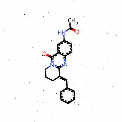 CC(=O)Nc1ccc2nc3n(c(=O)c2c1)CCCC3=Cc1ccccc1